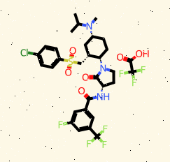 CC(C)N(C)[C@@H]1CC[C@H](N2CC[C@H](NC(=O)c3cc(F)cc(C(F)(F)F)c3)C2=O)[C@H](CS(=O)(=O)c2ccc(Cl)cc2)C1.O=C(O)C(F)(F)F